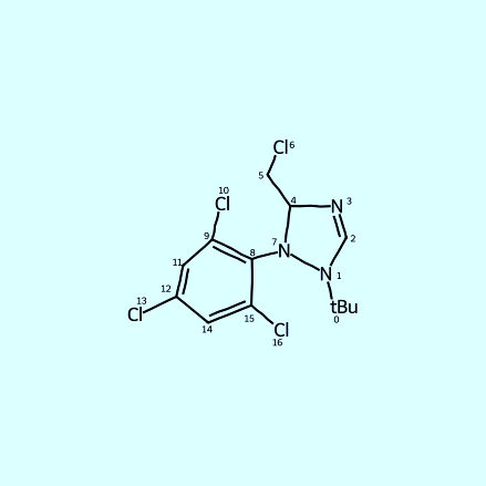 CC(C)(C)N1C=NC(CCl)N1c1c(Cl)cc(Cl)cc1Cl